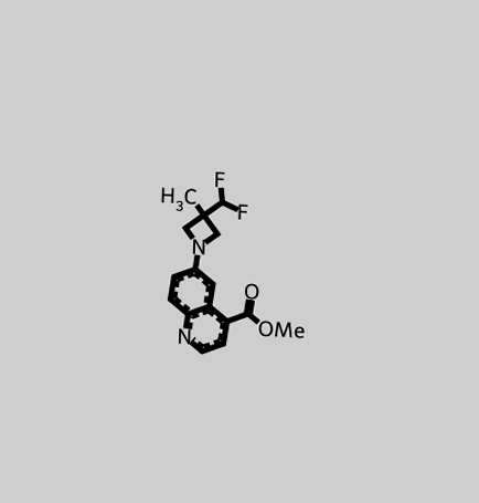 COC(=O)c1ccnc2ccc(N3CC(C)(C(F)F)C3)cc12